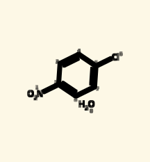 O.O=[N+]([O-])c1ccc(Cl)cc1